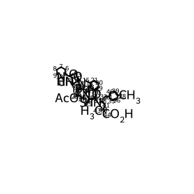 CCC(C)C(NC(=O)C1CCCCN1C)C(=O)N(Cc1ccccc1)[C@H](C[C@@H](OC(C)=O)c1nc(C(=O)N[C@@H](Cc2ccc(C)cc2)C[C@H](C)C(=O)O)cs1)C(C)C